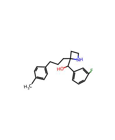 Cc1ccc(CCCC2(C(O)c3cccc(F)c3)CCN2)cc1